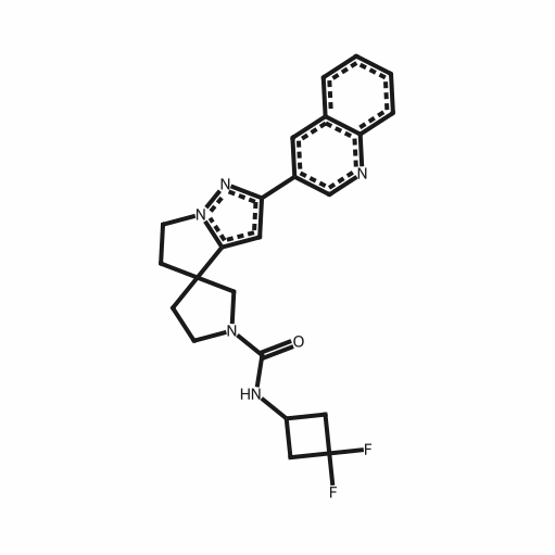 O=C(NC1CC(F)(F)C1)N1CCC2(CCn3nc(-c4cnc5ccccc5c4)cc32)C1